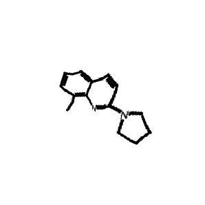 Cc1cccc2ccc(N3CCCC3)nc12